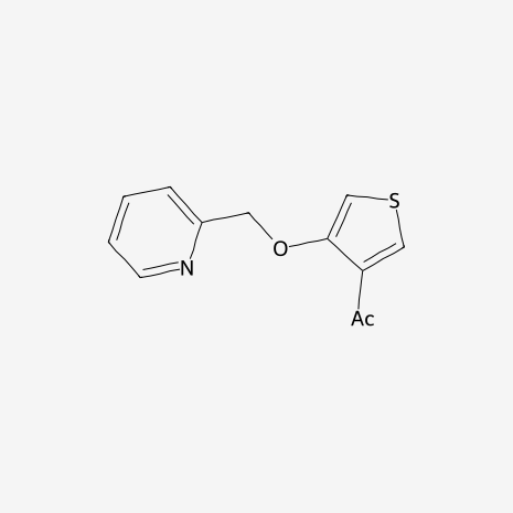 CC(=O)c1cscc1OCc1ccccn1